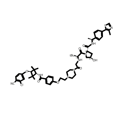 Cc1ncsc1-c1ccc([C@H](C)NC(=O)[C@@H]2C[C@@H](O)CN2C(=O)[C@@H](NCC(=O)N2CCN(CCOc3ccc(C(=O)N[C@H]4C(C)(C)[C@H](Oc5ccc(C#N)c(Cl)c5)C4(C)C)cc3)CC2)C(C)(C)C)cc1